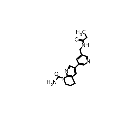 CCC(=O)NCc1cncc(-c2cnc3c(c2)CCCN3C(N)=O)c1